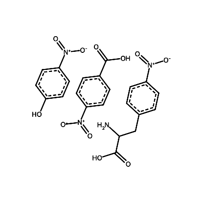 NC(Cc1ccc([N+](=O)[O-])cc1)C(=O)O.O=C(O)c1ccc([N+](=O)[O-])cc1.O=[N+]([O-])c1ccc(O)cc1